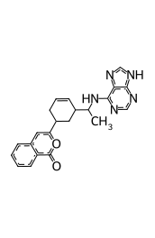 CC(Nc1ncnc2[nH]cnc12)C1C=CCC(c2cc3ccccc3c(=O)o2)C1